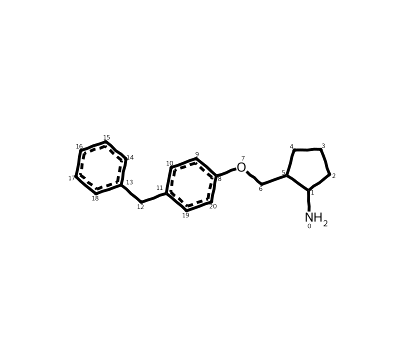 NC1CCCC1COc1ccc(Cc2ccccc2)cc1